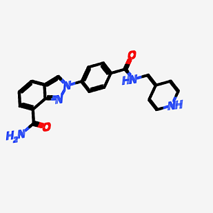 NC(=O)c1cccc2cn(-c3ccc(C(=O)NCC4CCNCC4)cc3)nc12